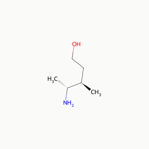 C[C@H](CCO)[C@@H](C)N